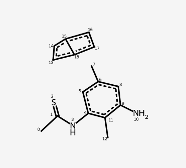 CC(=S)Nc1cc(C)cc(N)c1C.c1cc2ccc1-2